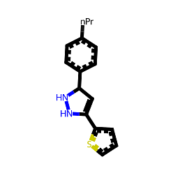 CCCc1ccc(C2C=C(c3cccs3)NN2)cc1